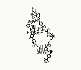 Cc1cc(Nc2ncc(Cl)c(Nc3ccccc3S(=O)(=O)C(C)C)n2)c(OC(C)C)cc1C1CCN(C(=O)CCCC(=O)N[C@H](C(=O)N2C[C@H](OC(=O)CCCCn3cc(CNC(=O)CC[C@H](NC(=O)c4ccc(NCc5cnc6nc(N)[nH]c(=O)c6n5)cc4)C(=O)O)nn3)C[C@H]2C(=O)N[C@@H](C)c2ccc(-c3scnc3C)cc2)C(C)(C)C)CC1